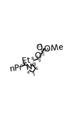 CCCC(CC)N1CCC[C@H]1CCOCC(=O)OC